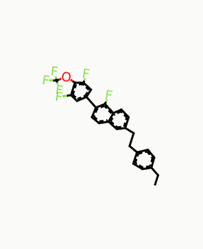 CCc1ccc(CCc2ccc3c(F)c(-c4cc(F)c(OC(F)(F)F)c(F)c4)ccc3c2)cc1